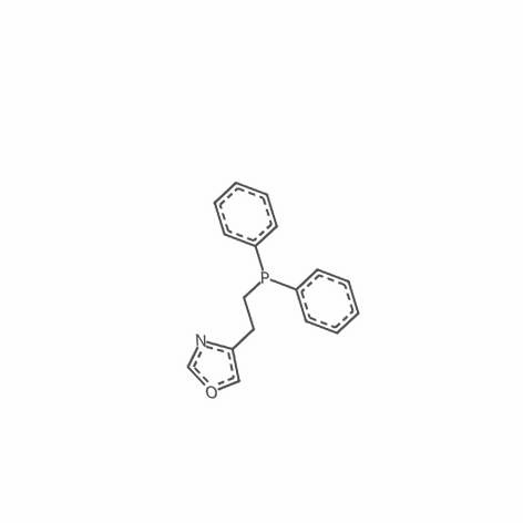 c1ccc(P(CCc2cocn2)c2ccccc2)cc1